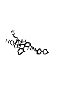 CSCC[C@H](NC(=O)c1ccc(CNc2ccc(N3CCCCC3)cc2)cc1-c1ccccc1C)C(=O)O